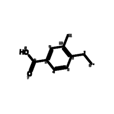 [CH2]Cc1ccc(C(=O)O)cc1C